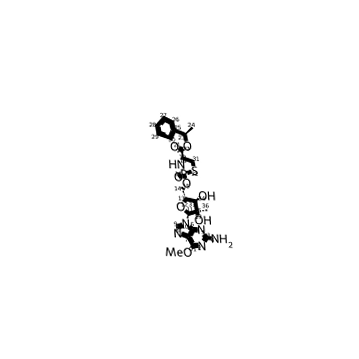 COc1nc(N)nc2c1ncn2[C@@H]1O[C@H](COP2(=O)N[C@@H](C(=O)O[C@H](C)c3ccccc3)CS2)[C@@H](O)[C@@]1(C)O